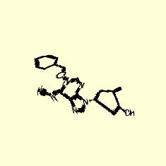 C=C1C[C@@H](n2cnc3c(=NC#N)n(OCC4C=CC=CC4)cnc32)C[C@@H]1O